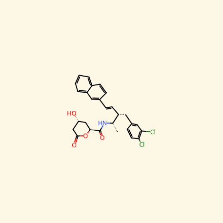 C[C@H](NC(=O)[C@@H]1C[C@@H](O)CC(=O)O1)[C@H](/C=C/c1ccc2ccccc2c1)Cc1ccc(Cl)c(Cl)c1